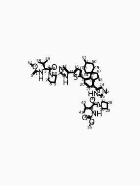 C=C(N[C@H](C(=O)N1CCC[C@H]1c1ncc(-c2ccc(-c3ccc(-c4cnc([C@@H]5CCCN5C(=O)[C@@H](NC(=O)OC)C(C)C)[nH]4)c4c3C3(CC4)CCC(C)CC3)s2)[nH]1)C(C)C)OC